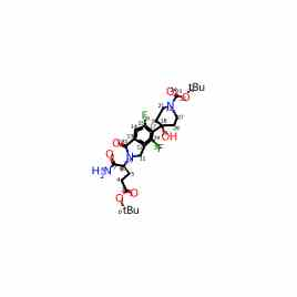 CC(C)(C)OC(=O)CC[C@@H](C(N)=O)N1Cc2c(cc(F)c(C3(O)CCN(C(=O)OC(C)(C)C)CC3)c2F)C1=O